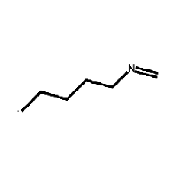 [CH2]CCCCN=C